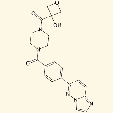 O=C(c1ccc(-c2ccc3nccn3n2)cc1)N1CCN(C(=O)C2(O)COC2)CC1